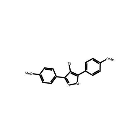 CCc1c(-c2ccc(OC)cc2)n[nH]c1-c1ccc(OC)cc1